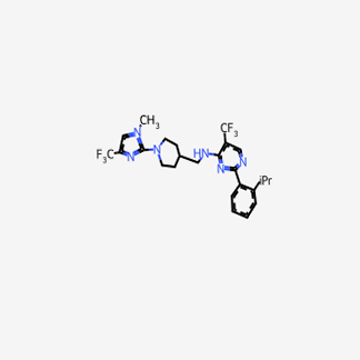 CC(C)c1ccccc1-c1ncc(C(F)(F)F)c(NCC2CCN(c3nc(C(F)(F)F)cn3C)CC2)n1